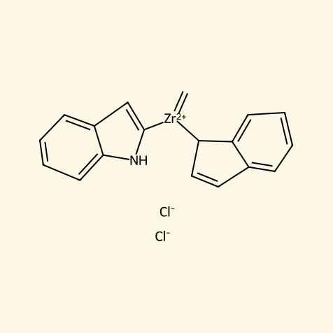 [CH2]=[Zr+2]([c]1cc2ccccc2[nH]1)[CH]1C=Cc2ccccc21.[Cl-].[Cl-]